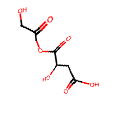 O=C(O)CC(O)C(=O)OC(=O)CO